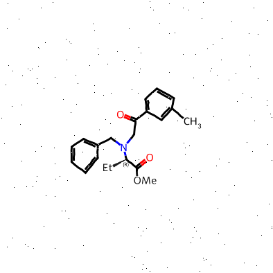 CC[C@H](C(=O)OC)N(CC(=O)c1cccc(C)c1)Cc1ccccc1